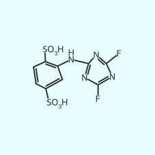 O=S(=O)(O)c1ccc(S(=O)(=O)O)c(Nc2nc(F)nc(F)n2)c1